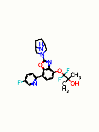 CC(C)(O)C(F)(F)Oc1ccc(-c2ccc(F)cn2)c2oc(N3CC4CCC(C3)N4)nc12